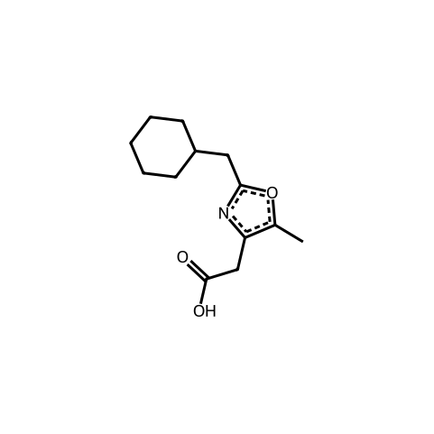 Cc1oc(CC2CCCCC2)nc1CC(=O)O